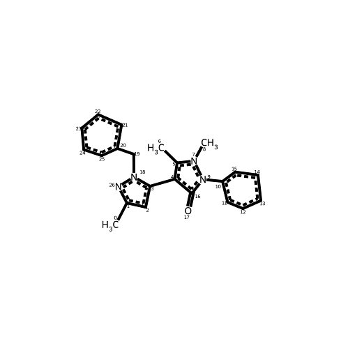 Cc1cc(-c2c(C)n(C)n(-c3ccccc3)c2=O)n(Cc2ccccc2)n1